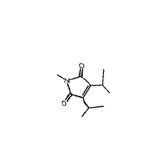 CC(C)C1=C(C(C)C)C(=O)N(C)C1=O